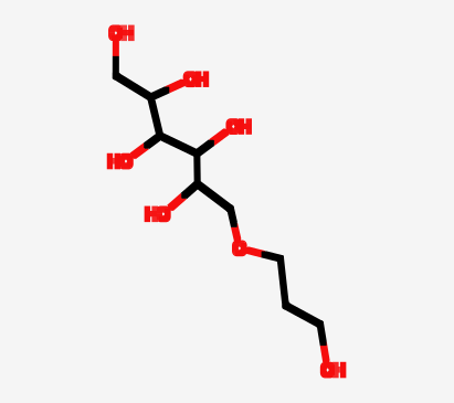 OCCCOCC(O)C(O)C(O)C(O)CO